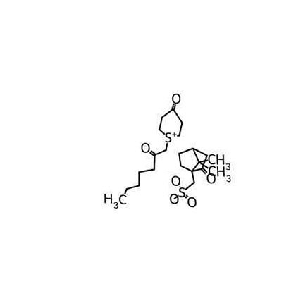 CC1(C)C2CCC1(CS(=O)(=O)[O-])C(=O)C2.CCCCCC(=O)C[S+]1CCC(=O)CC1